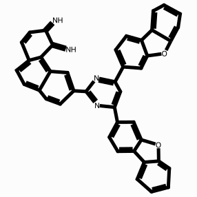 N=C1C=Cc2ccc3ccc(-c4nc(-c5ccc6c(c5)oc5ccccc56)cc(-c5ccc6c(c5)oc5ccccc56)n4)cc3c2C1=N